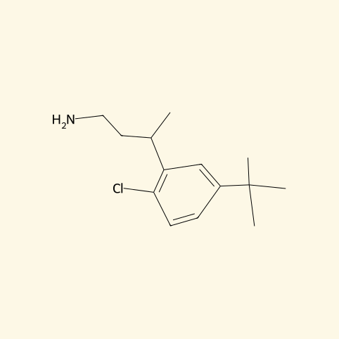 CC(CCN)c1cc(C(C)(C)C)ccc1Cl